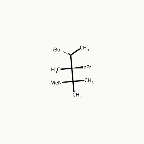 CCC[C@@](C)(C(C)[C@@H](C)CC)C(C)(C)NC